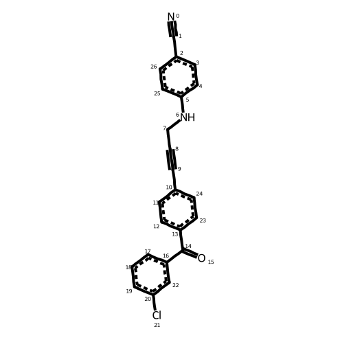 N#Cc1ccc(NCC#Cc2ccc(C(=O)c3cccc(Cl)c3)cc2)cc1